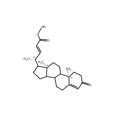 CCCOC(=O)/C=C/[C@@H](C)C1CCC2C3CCC4=CC(=O)CC[C@]4(C)C3CC[C@@]21C